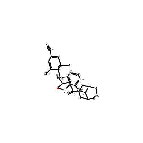 COc1c(Nc2c(F)cc(C#N)cc2Cl)ncnc1OC1C2COCC1CN(C(=O)OC(C)C)C2